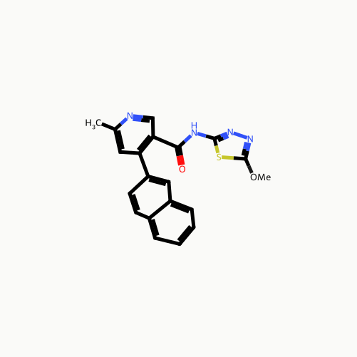 COc1nnc(NC(=O)c2cnc(C)cc2-c2ccc3ccccc3c2)s1